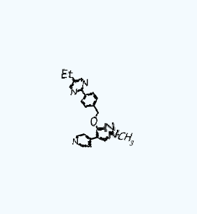 CCc1cnc(-c2ccc(COc3nn(C)cc3-c3ccncc3)cc2)nc1